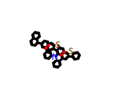 c1cc(-c2cccc(N(c3ccccc3-c3ccc4sc5ccccc5c4c3)c3cccc4sc5ccccc5c34)c2)cc(-c2cccc3ccccc23)c1